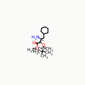 COC(=O)[C@H](O[Si](C)(C)C(C)(C)C)[C@@H](N)CC1CCCCC1